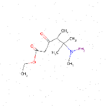 CCOC(=O)CC(=O)C(C)C(C)(C)N(C)P